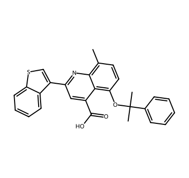 Cc1ccc(OC(C)(C)c2ccccc2)c2c(C(=O)O)cc(-c3csc4ccccc34)nc12